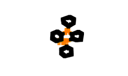 c1ccc(Pc2ccccc2P(c2ccccc2)c2ccccc2)cc1